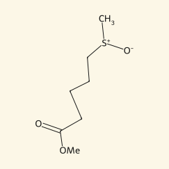 COC(=O)CCCC[S+](C)[O-]